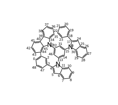 c1ccc(-c2cc3ccccc3n2-c2cc(-n3c(-c4ccccc4)cc4ccccc43)cc(-n3c4ccccc4c4ccccc43)c2)cc1